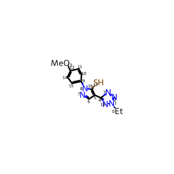 CCn1nnc(-c2cnn(-c3ccc(OC)cc3)c2S)n1